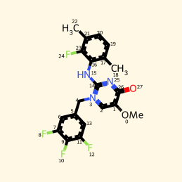 COc1cn(Cc2cc(F)c(F)c(F)c2)c(Nc2c(C)ccc(C)c2F)nc1=O